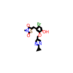 CN1C(=O)S/C(=C\c2cc(OCc3cnc(C4CC4)nc3)c(O)cc2Br)C1=O